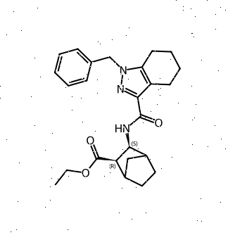 CCOC(=O)[C@@H]1C2CCC(C2)[C@@H]1NC(=O)c1nn(Cc2ccccc2)c2c1CCCC2